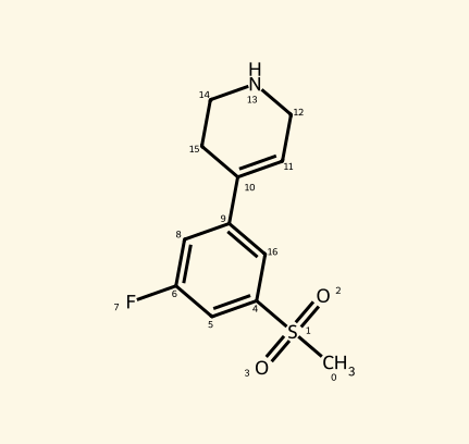 CS(=O)(=O)c1cc(F)cc(C2=CCNCC2)c1